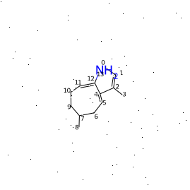 C\C=C(C)/C1=C/CC(C)CC/C=C\1N